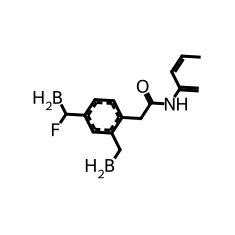 BCc1cc(C(B)F)ccc1CC(=O)NC(=C)/C=C\C